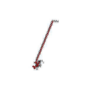 COCCOCCOCCOCCOCCOCCOCCOCCOCCOCCOCCOCCOCCOCCOCCOCCOCCOCCOCCOCCOCCOCCOCCOCCOCCCc1cc(NC(=O)[C@H](CCCNC(N)=O)NC(=O)[C@@H](NC(=O)OCC2c3ccccc3-c3ccccc32)C(C)C)ccc1CI